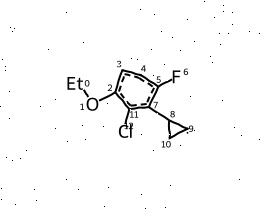 CCOc1ccc(F)c(C2[CH]C2)c1Cl